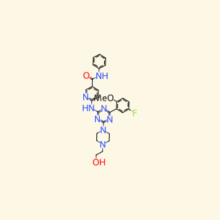 COc1ccc(F)cc1-c1nc(Nc2ccc(C(=O)Nc3ccccc3)cn2)nc(N2CCN(CCO)CC2)n1